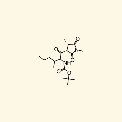 CCCC(C)C(NC(=O)OC(C)(C)C)C(=O)[C@@H]1C(=O)N(C)C(=O)[C@H]1C